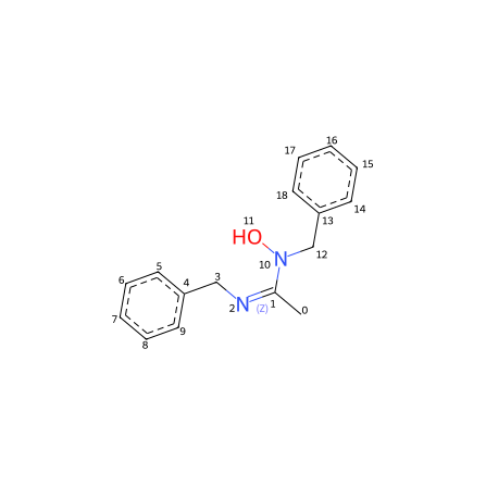 C/C(=N/Cc1ccccc1)N(O)Cc1ccccc1